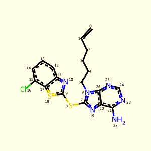 C=CCCCCn1c(Sc2nc3cccc(Cl)c3s2)nc2c(N)ncnc21